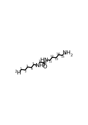 [2H]CCCCCNCC(=O)NCCCCCN